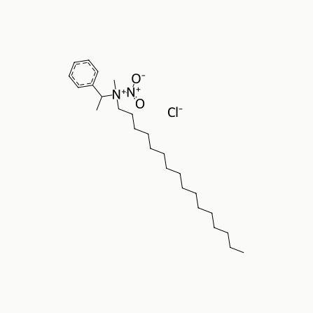 CCCCCCCCCCCCCCCC[N+](C)(C(C)c1ccccc1)[N+](=O)[O-].[Cl-]